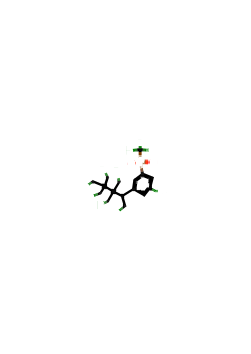 O=S(=O)(c1[c]c(Br)cc(C(CF)C(CF)(CF)C(CF)(CF)CF)c1)C(F)(F)F